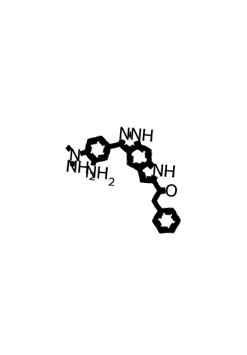 CN(N)c1ccc(-c2n[nH]c3cc4[nH]c(C(=O)Cc5ccccc5)cc4cc23)cc1N